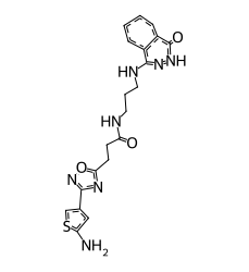 Nc1cc(-c2noc(CCC(=O)NCCCNc3n[nH]c(=O)c4ccccc34)n2)cs1